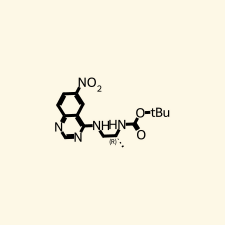 C[C@H](CNc1ncnc2ccc([N+](=O)[O-])cc12)NC(=O)OC(C)(C)C